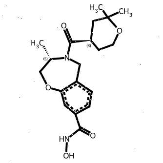 C[C@H]1COc2cc(C(=O)NO)ccc2CN1C(=O)[C@@H]1CCOC(C)(C)C1